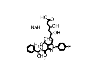 CC(C)c1c(C(=O)N[C@H](C)c2ccccc2)nn(-c2ccc(F)cc2)c1CC[C@@H](O)C[C@@H](O)CC(=O)O.[NaH]